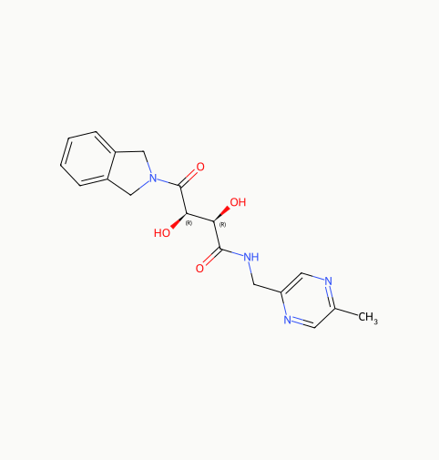 Cc1cnc(CNC(=O)[C@H](O)[C@@H](O)C(=O)N2Cc3ccccc3C2)cn1